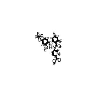 COC(=O)c1ccc(NC(=O)c2c(F)cc(F)cc2Oc2ccc(OC(F)(F)F)cc2OC)cn1